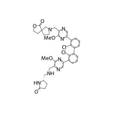 COc1nc(-c2cccc(-c3cccc(-c4cnc(CN5CCC6(CCOC6=O)C5)c(OC)n4)c3Cl)c2Cl)cnc1CNC[C@@H]1CCC(=O)N1